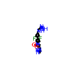 O=C1O[C@@H](Cn2ccnn2)CN1c1cc(F)c(-c2ccc(CNCc3cnn[nH]3)cc2)c(F)c1